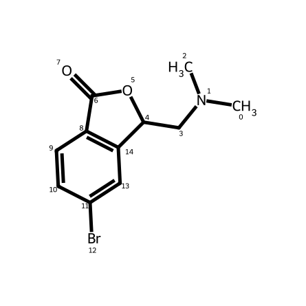 CN(C)CC1OC(=O)c2ccc(Br)cc21